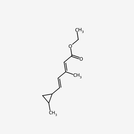 CCOC(=O)/C=C(C)/C=C/C1CC1C